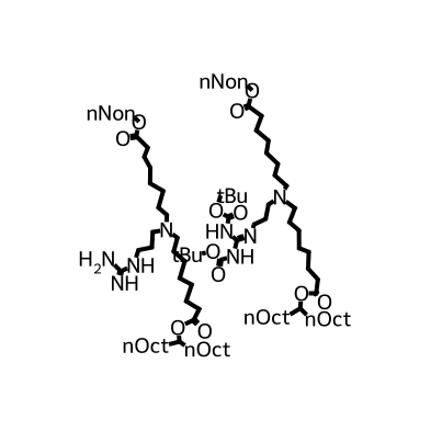 CCCCCCCCCOC(=O)CCCCCCCN(CCCCCCCC(=O)OC(CCCCCCCC)CCCCCCCC)CCCN=C(NC(=O)OC(C)(C)C)NC(=O)OC(C)(C)C.CCCCCCCCCOC(=O)CCCCCCCN(CCCCCCCC(=O)OC(CCCCCCCC)CCCCCCCC)CCCNC(=N)N